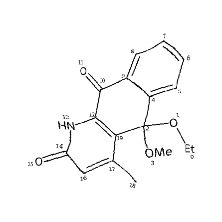 CCOC1(OC)c2ccccc2C(=O)c2[nH]c(=O)cc(C)c21